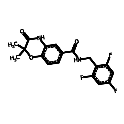 CC1(C)Oc2ccc(C(=O)NCc3c(F)cc(F)cc3F)cc2NC1=O